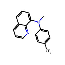 CN(c1ccc(C(F)(F)F)cc1)c1cccc2cccnc12